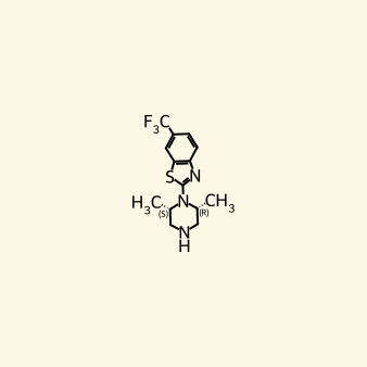 C[C@@H]1CNC[C@H](C)N1c1nc2ccc(C(F)(F)F)cc2s1